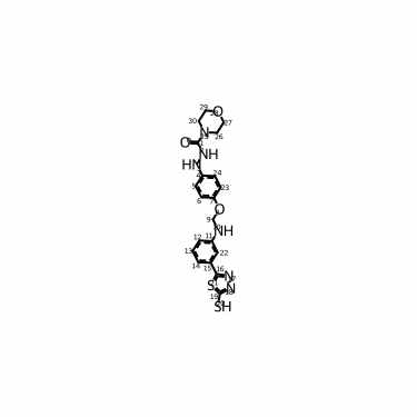 O=C(NNc1ccc(OCNc2cccc(-c3nnc(S)s3)c2)cc1)N1CCOCC1